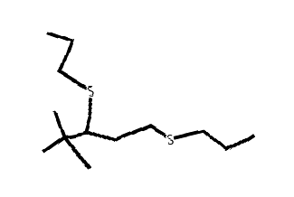 CCCSCCC(SCCC)C(C)(C)C